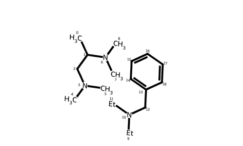 CC(CN(C)C)N(C)C.CCN(CC)Cc1ccccc1